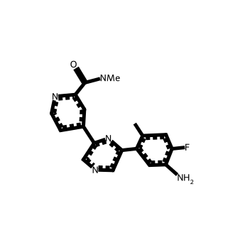 CNC(=O)c1cc(-c2cncc(-c3cc(N)c(F)cc3C)n2)ccn1